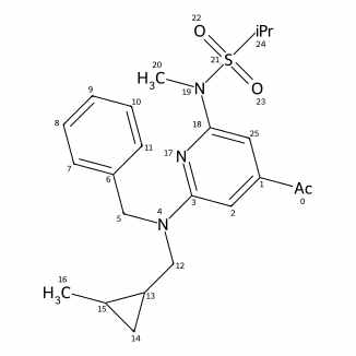 CC(=O)c1cc(N(Cc2ccccc2)CC2CC2C)nc(N(C)S(=O)(=O)C(C)C)c1